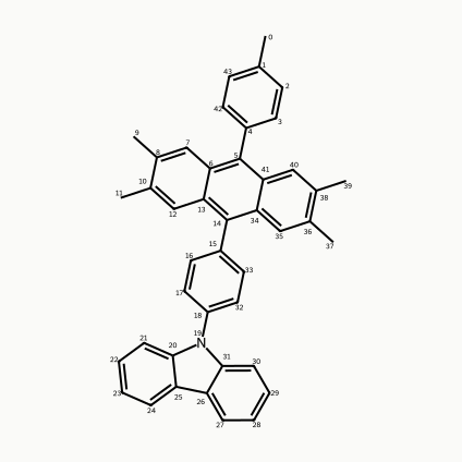 Cc1ccc(-c2c3cc(C)c(C)cc3c(-c3ccc(-n4c5ccccc5c5ccccc54)cc3)c3cc(C)c(C)cc23)cc1